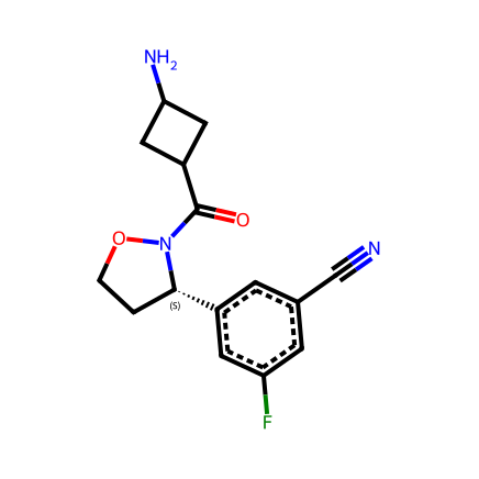 N#Cc1cc(F)cc([C@@H]2CCON2C(=O)C2CC(N)C2)c1